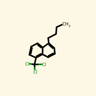 CCCCc1cccc2c(C(Cl)(Cl)Cl)cccc12